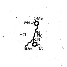 CCCCCCCCCCCCCCCC(C#N)(CCCC(CCc1ccc(OC)c(OC)c1)/N=N/C)c1cccc(OCC)c1.Cl